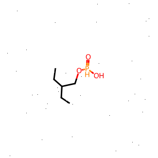 CCC(CC)CO[PH](=O)O